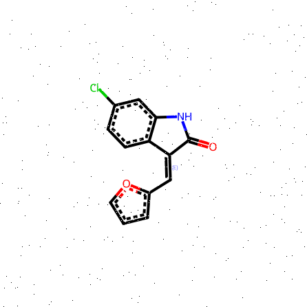 O=C1Nc2cc(Cl)ccc2/C1=C\c1ccco1